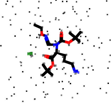 CCO/N=C/N(C(=O)OC(C)(C)C)[C@@H](CCCN)C(=O)OC(C)(C)C.Cl